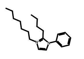 CCCCCCC[n+]1ccn(-c2ccccc2)c1CCCC